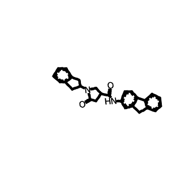 O=C(Nc1ccc2c(c1)Cc1ccccc1-2)C1CC(=O)N(C2Cc3ccccc3C2)C1